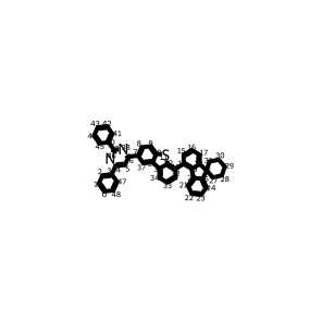 c1ccc(-c2cc(-c3ccc4sc5c(-c6cccc7c6-c6ccccc6C76CCCCC6)cccc5c4c3)nc(-c3ccccc3)n2)cc1